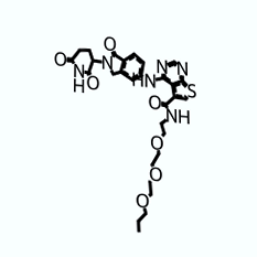 CCCOCCOCCOCCNC(=O)c1csc2ncnc(Nc3ccc4c(c3)CN(C3CCC(=O)NC3=O)C4=O)c12